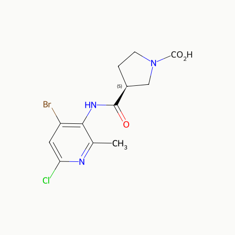 Cc1nc(Cl)cc(Br)c1NC(=O)[C@H]1CCN(C(=O)O)C1